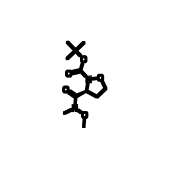 CON(C)C(=O)[C@@H]1CCON1C(=O)OC(C)(C)C